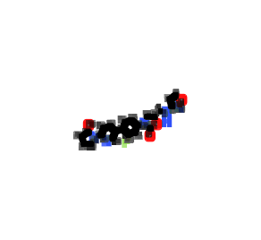 O=C1O[C@@H](CNc2ccon2)CN1c1ccc(-c2ccc(N3CCCC3=O)nc2)c(F)c1